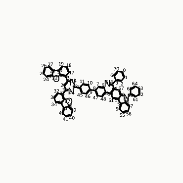 c1ccc(-c2nc3cc(-c4ccc(-c5nc(-c6cccc7c6oc6ccccc67)cc(-c6cccc7c6oc6ccccc67)n5)cc4)ccc3c3cc4c5ccccc5n(-c5ccccc5)c4cc23)cc1